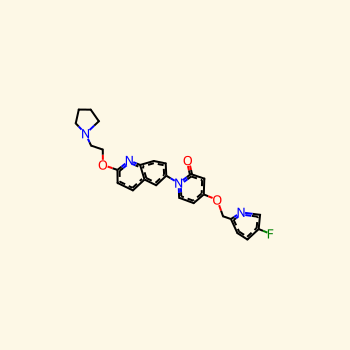 O=c1cc(OCc2ccc(F)cn2)ccn1-c1ccc2nc(OCCN3CCCC3)ccc2c1